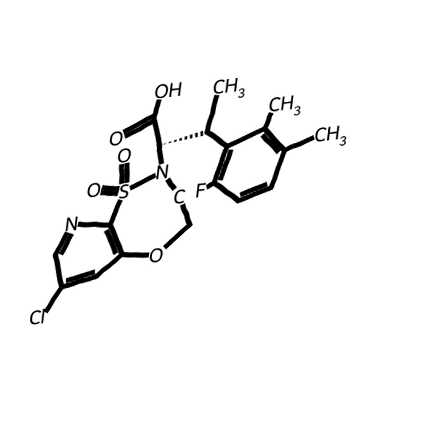 Cc1ccc(F)c(C(C)[C@@H](C(=O)O)N2CCOc3cc(Cl)cnc3S2(=O)=O)c1C